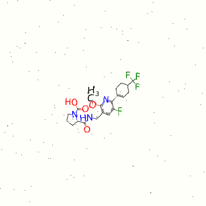 COc1nc(C2=CCC(C(F)(F)F)CC2)c(F)cc1CNC(=O)C1CCCN1C(=O)O